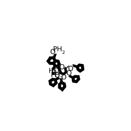 OC1(c2ccc3c(COP)cccc3c2COP)O[C@H](COCc2ccccc2)[C@@H](OCc2ccccc2)[C@H](OCc2ccccc2)[C@H]1OCc1ccccc1